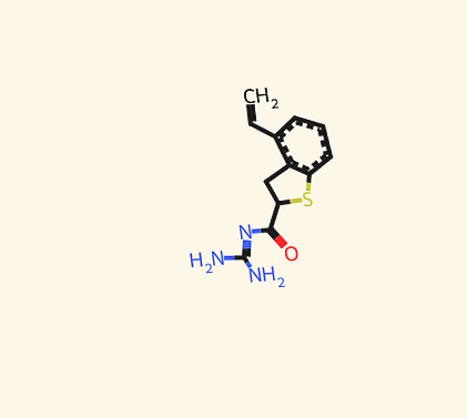 C=Cc1cccc2c1CC(C(=O)N=C(N)N)S2